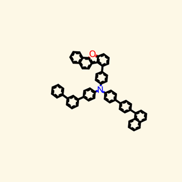 c1ccc(-c2cccc(-c3ccc(N(c4ccc(-c5ccc(-c6cccc7ccccc67)cc5)cc4)c4ccc(-c5cccc6oc7c8ccccc8ccc7c56)cc4)cc3)c2)cc1